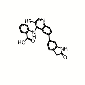 O=C1Cc2ccc(-c3ccc4ncc(S)c(Nc5ccccc5C(=O)O)c4c3)cc2N1